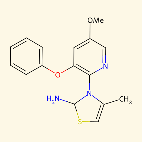 COc1cnc(N2C(C)=CSC2N)c(Oc2ccccc2)c1